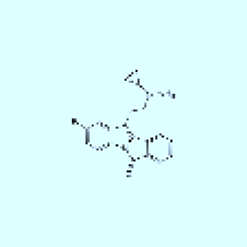 CN(CCc1c2n(c3ccc(F)cc13)C(=O)c1ccccc1-2)C1CC1